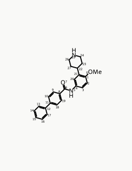 COc1ccc(NC(=O)c2ccc(-c3ccccc3)cc2)cc1C1CCNCC1